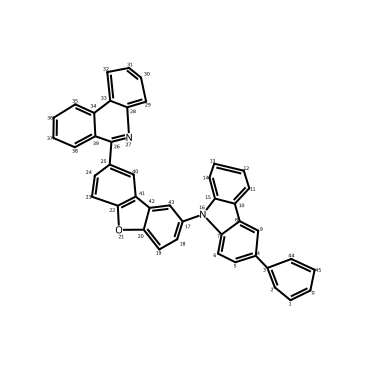 c1ccc(-c2ccc3c(c2)c2ccccc2n3-c2ccc3oc4ccc(-c5nc6ccccc6c6ccccc56)cc4c3c2)cc1